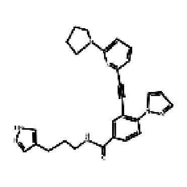 O=C(NCCCc1cn[nH]c1)c1ccc(-n2cccn2)c(C#Cc2cccc(N3CCCC3)n2)c1